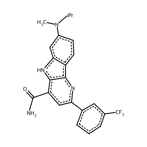 CC(C)N(C)c1ccc2c(c1)[nH]c1c(C(N)=O)cc(-c3cccc(C(F)(F)F)c3)nc12